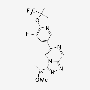 CO[C@@H](C)c1nnc2cnc(-c3cnc(OC(C)(C)C(F)(F)F)c(F)c3)cn12